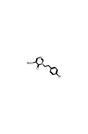 COc1cncn(CCc2ccc(Br)cc2)c1=O